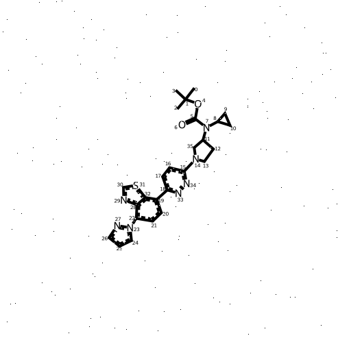 CC(C)(C)OC(=O)N(C1CC1)C1CCN(c2ccc(-c3ccc(-n4cccn4)c4ncsc34)nn2)C1